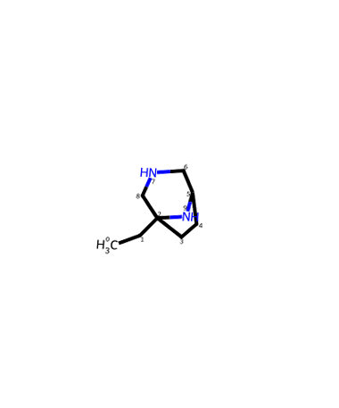 CCC12CCC(CNC1)N2